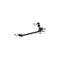 Cc1ccc(S(=O)(=O)OCCOCCOCCOCCOCCOCCOCCOCC(=O)NC(C(=O)N2C[C@H](O)C[C@H]2C(=O)NCc2ccc(-c3scnc3C)cc2)C(C)(C)C)cc1